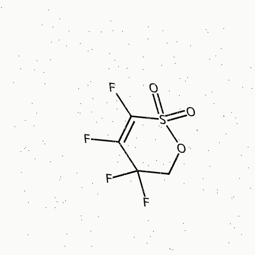 O=S1(=O)OCC(F)(F)C(F)=C1F